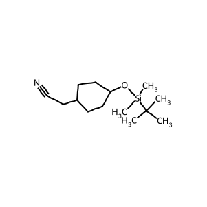 CC(C)(C)[Si](C)(C)OC1CCC(CC#N)CC1